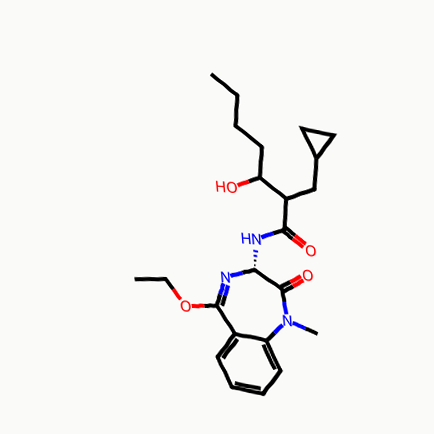 CCCCC(O)C(CC1CC1)C(=O)N[C@H]1N=C(OCC)c2ccccc2N(C)C1=O